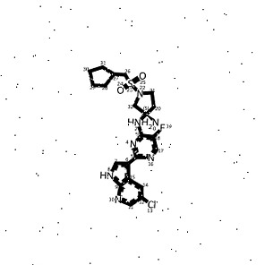 N[C@]1(Nc2nc(-c3c[nH]c4ncc(Cl)cc34)ncc2F)CCN(S(=O)(=O)CC2CCCC2)C1